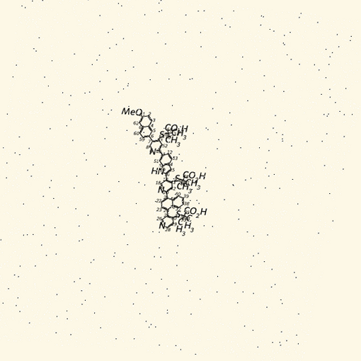 COc1ccc2cc(-c3cnc(-c4ccc5cc(-c6cnc(-c7ccc(-c8cnccc8SC(C)(C)C(=O)O)c8ccccc78)cc6SC(C)(C)C(=O)O)[nH]c5c4)cc3SC(C)(C)C(=O)O)ccc2c1